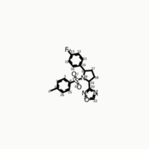 Cc1ccc(S(=O)(=O)N2C(c3ccc(F)cc3)CCC2c2ncon2)cc1